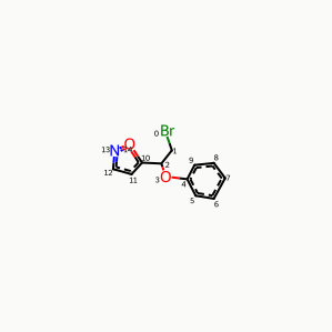 BrCC(Oc1ccccc1)c1ccno1